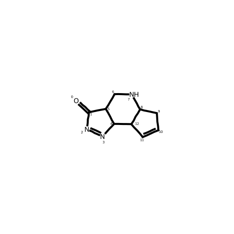 O=C1N=NC2C1CNC1CC=CC12